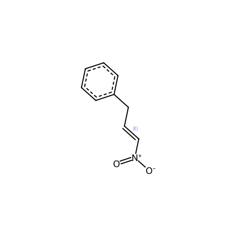 O=[N+]([O-])/C=C/Cc1ccccc1